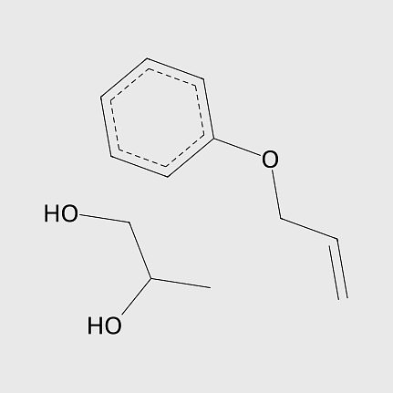 C=CCOc1ccccc1.CC(O)CO